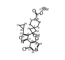 CC(C)(C)OC(=O)N1CCC2(CC1)CC(O)(c1c(-c3c(Cl)cncc3Cl)noc1C1CC1)C2